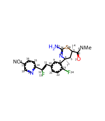 CNC(=O)[C@@]1(C)C[C@@](C)(c2cc(/C=C(\F)c3ccc(C#N)cn3)ccc2F)N=C(N)S1